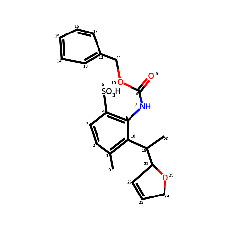 Cc1ccc(S(=O)(=O)O)c(NC(=O)OCc2ccccc2)c1C(C)C1C=CCO1